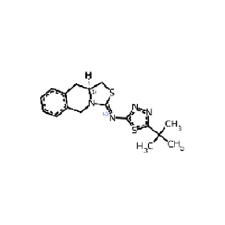 CC(C)(C)c1nnc(/N=C2\SC[C@@H]3Cc4ccccc4CN23)s1